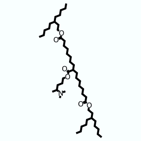 CCCCCC(CCCCC)CCOC(=O)CCCCCCCC(CCCCCCCC(=O)OCCC(CCCCC)CCCCC)C(=O)OCCCC(C)N(C)C